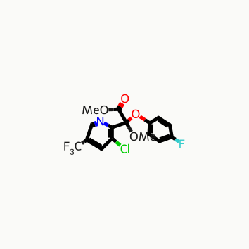 COC(=O)C(OC)(Oc1ccc(F)cc1)c1ncc(C(F)(F)F)cc1Cl